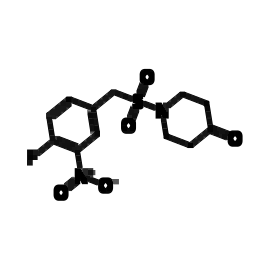 O=C1CCN(S(=O)(=O)Cc2ccc(F)c([N+](=O)[O-])c2)CC1